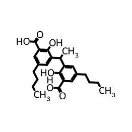 CCCCc1cc(C(=O)O)c(O)c(C(C)c2cc(CCCC)cc(C(=O)O)c2O)c1